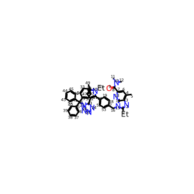 CCc1nc2c(C)cc(C(=O)N(C)C)nc2n1Cc1ccc(-c2c(-c3nnnn3C(c3ccccc3)(c3ccccc3)c3ccccc3)cc(C)n2CC)cc1